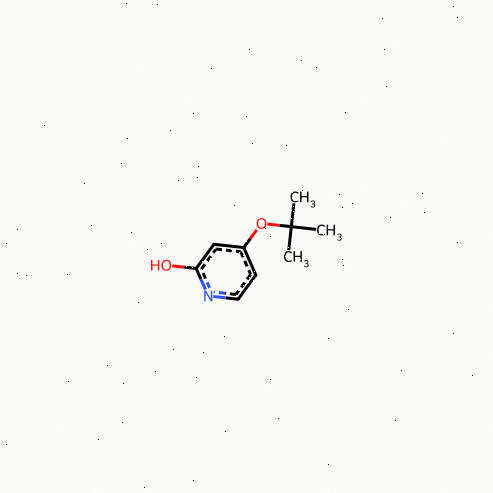 CC(C)(C)Oc1ccnc(O)c1